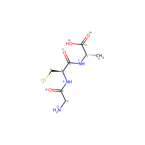 C[C@H](NC(=O)[C@H](CS)NC(=O)CN)C(=O)O